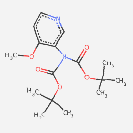 COc1ccncc1N(C(=O)OC(C)(C)C)C(=O)OC(C)(C)C